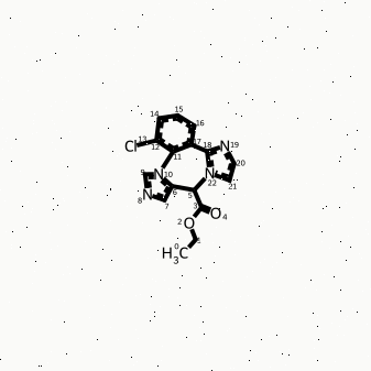 CCOC(=O)C1c2cncn2-c2c(Cl)cccc2-c2nccn21